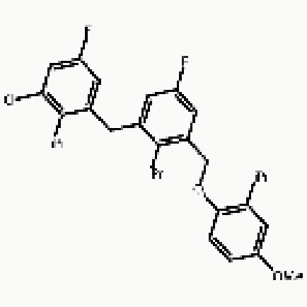 COc1ccc(OCc2cc(F)cc(Cc3cc(F)cc(Cl)c3C(C)C)c2C(C)C)c(C(C)C)c1